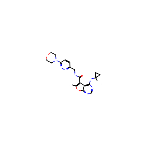 Cc1oc2ncnc(NC3(C)CC3)c2c1C(=O)NCc1ccc(N2CCOCC2)nn1